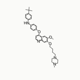 COc1cc2c(Oc3ccc(Nc4ccc(C(C)(C)C)cc4)cc3)ccnc2cc1OCCCCN1CCN(C)CC1